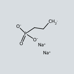 [CH2]CCP(=O)([O-])[O-].[Na+].[Na+]